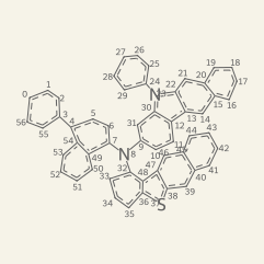 c1ccc(-c2ccc(N(c3ccc4c5cc6ccccc6cc5n(-c5ccccc5)c4c3)c3cccc4sc5cc6ccccc6cc5c34)c3ccccc23)cc1